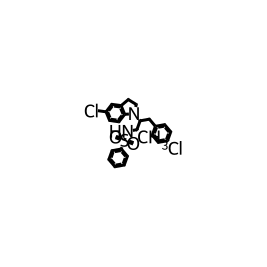 CC(NS(=O)(=O)c1ccccc1)C(Cc1ccc(Cl)cc1)N1CCc2cc(Cl)ccc21